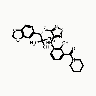 CC(C)(C)[C@@H](Nc1nsnc1Nc1cccc(C(=O)N2CCCCC2)c1O)c1ccc2c(c1)OCO2